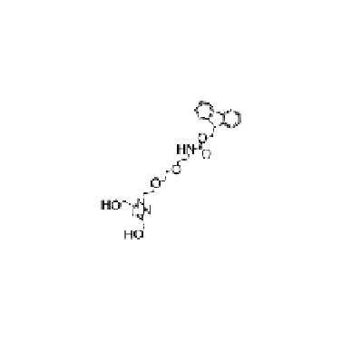 O=C(NCCOCCOCCn1nc(CO)cc1CO)OCC1c2ccccc2-c2ccccc21